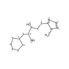 Cn1nnnc1SCC(O)C([NH])CC1CCCCC1